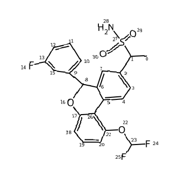 CC(c1ccc2c(c1)C(c1cccc(F)c1)Oc1cccc(OC(F)F)c1-2)S(N)(=O)=O